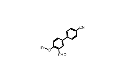 CC(C)Oc1ccc(-c2ccc(C#N)cc2)cc1C=O